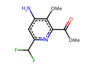 COC(=O)c1nc(C(F)F)cc(N)c1OC